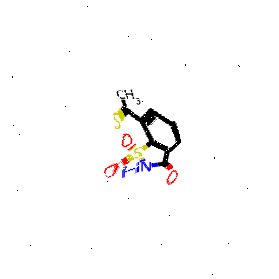 CC(=S)c1cccc2c1S(=O)(=O)NC2=O